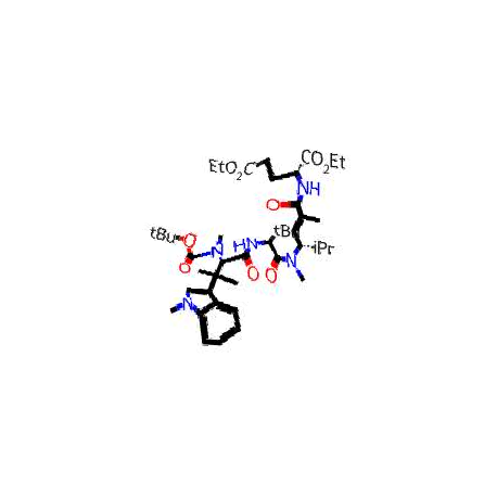 CCOC(=O)CC[C@@H](NC(=O)/C(C)=C/[C@H](C(C)C)N(C)C(=O)C(NC(=O)[C@@H](N(C)C(=O)OC(C)(C)C)C(C)(C)c1cn(C)c2ccccc12)C(C)(C)C)C(=O)OCC